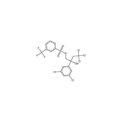 O=S(=O)(OCC(O)(CC(Cl)(Cl)Cl)c1cc(Cl)cc(Cl)c1)c1cccc(C(F)(F)F)c1